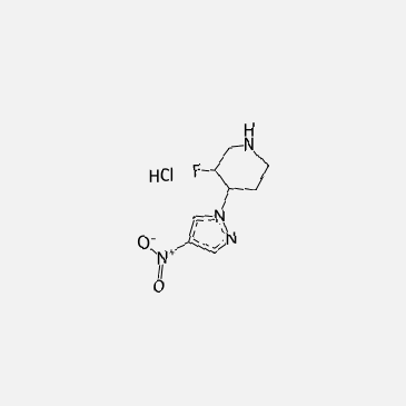 Cl.O=[N+]([O-])c1cnn(C2CCNCC2F)c1